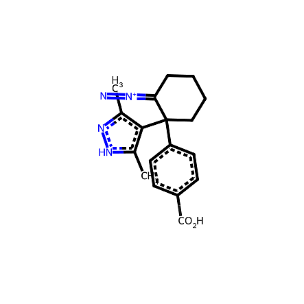 Cc1n[nH]c(C)c1C1(c2ccc(C(=O)O)cc2)CCCCC1=[N+]=[N-]